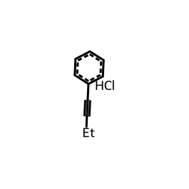 CCC#Cc1ccccc1.Cl